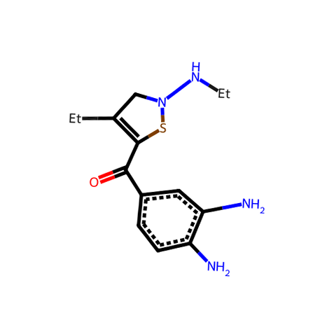 CCNN1CC(CC)=C(C(=O)c2ccc(N)c(N)c2)S1